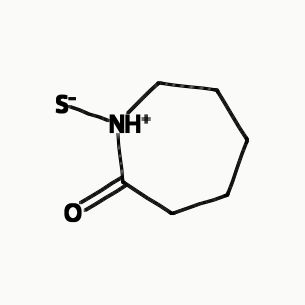 O=C1CCCCC[NH+]1[S-]